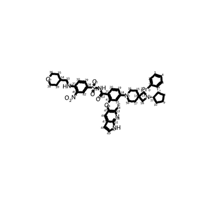 CC(C)c1ccccc1[C@@H]1CCC[C@@H]1N1CC2(CCN(c3ccc(C(=O)NS(=O)(=O)c4ccc(NCC5CCOCC5)c([N+](=O)[O-])c4)c(Oc4cc5cc[nH]c5nc4F)c3)CC2)C1